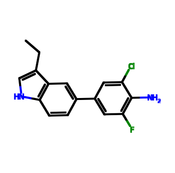 CCc1c[nH]c2ccc(-c3cc(F)c(N)c(Cl)c3)cc12